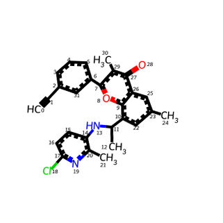 C#Cc1cccc(-c2oc3c(C(C)Nc4ccc(Cl)nc4C)cc(C)cc3c(=O)c2C)c1